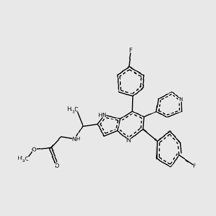 COC(=O)CNC(C)c1cc2nc(-c3ccc(F)cc3)c(-c3ccncc3)c(-c3ccc(F)cc3)c2[nH]1